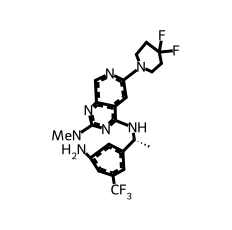 CNc1nc(N[C@H](C)c2cc(N)cc(C(F)(F)F)c2)c2cc(N3CCC(F)(F)CC3)ncc2n1